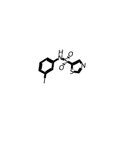 O=S(=O)(Nc1cccc(I)c1)c1cncs1